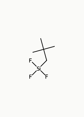 CC(C)(C)C[Si](F)(F)F